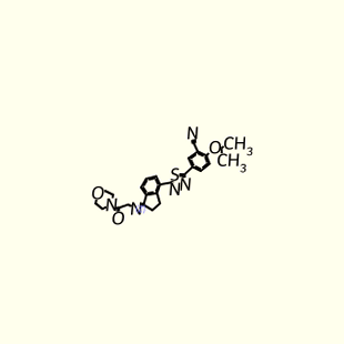 CC(C)Oc1ccc(-c2nnc(-c3cccc4c3CC/C4=N/CC(=O)N3CCOCC3)s2)cc1C#N